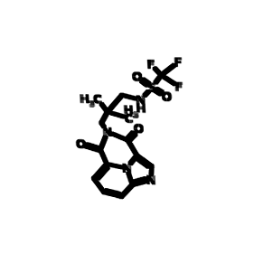 CC(C)(CNS(=O)(=O)C(F)(F)F)Cn1c(=O)c2cccc3ncc(c1=O)n32